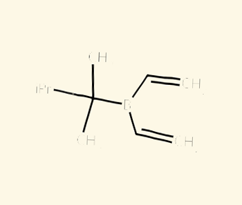 C=CB(C=C)C(C)(C)C(C)C